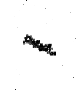 O=C(NCc1cccc(F)c1)Nc1nc(CS(=O)(=O)CCO)ns1